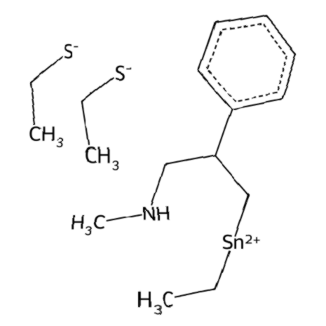 CC[S-].CC[S-].C[CH2][Sn+2][CH2]C(CNC)c1ccccc1